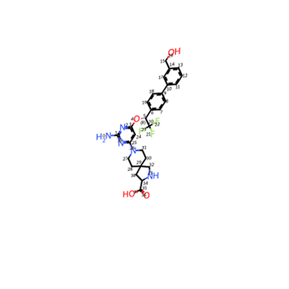 Nc1nc(O[C@H](c2ccc(-c3cccc(CO)c3)cc2)C(F)(F)F)cc(N2CCC3(CC2)CNC(C(=O)O)C3)n1